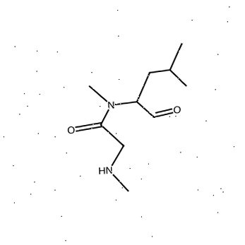 CNCC(=O)N(C)C(C=O)CC(C)C